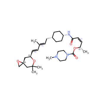 CC(/C=C/[C@@H]1C[C@]2(CO2)CC(C)(C)O1)=C\C[C@H]1CC[C@@H](NC(=O)/C=C\[C@H](C)OC(=O)N2CCN(C)CC2)CC1